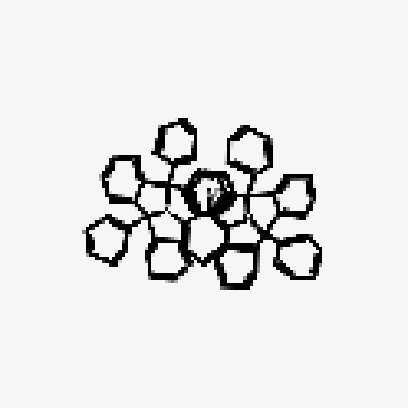 N#Cc1c(N2C(c3ccccc3)(c3ccccc3)c3ccccc3C2(c2ccccc2)c2ccccc2)cccc1N1C(c2ccccc2)(c2ccccc2)c2ccccc2C1(c1ccccc1)c1ccccc1